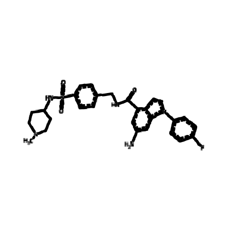 CN1CCC(NS(=O)(=O)c2ccc(CNC(=O)c3cc(N)cc4c3ccn4-c3ccc(F)cc3)cc2)CC1